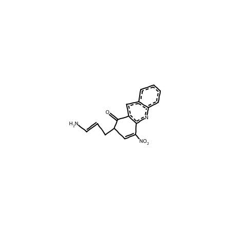 NC=CCC1C=C([N+](=O)[O-])c2nc3ccccc3cc2C1=O